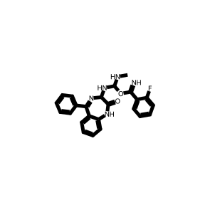 CNC(NC1N=C(c2ccccc2)c2ccccc2NC1=O)OC(=N)c1ccccc1F